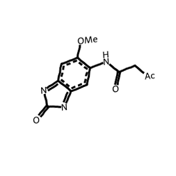 COc1cc2c(cc1NC(=O)CC(C)=O)=NC(=O)N=2